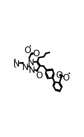 CCCCc1c(Cc2ccc(-c3ccccc3C(=O)OC)cc2)c(=O)nc(N=CN(C)C)n1CC(=O)OC